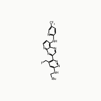 CCC(C)CNc1cc(CF)c(-c2cnc3c(Nc4ccc(C(F)(F)F)cn4)ccnc3n2)nn1